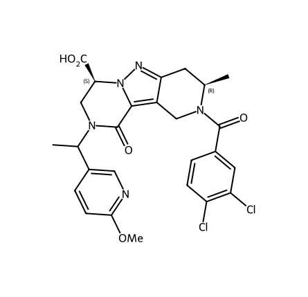 COc1ccc(C(C)N2C[C@@H](C(=O)O)n3nc4c(c3C2=O)CN(C(=O)c2ccc(Cl)c(Cl)c2)[C@H](C)C4)cn1